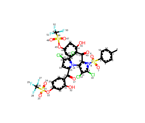 Cc1ccc(S(=O)(=O)n2c(Cl)c(Cl)c(-n3c(C(=O)c4ccc(OS(=O)(=O)C(F)(F)F)cc4O)cc(Cl)c3Cl)c2C(=O)c2ccc(OS(=O)(=O)C(F)(F)F)cc2O)cc1